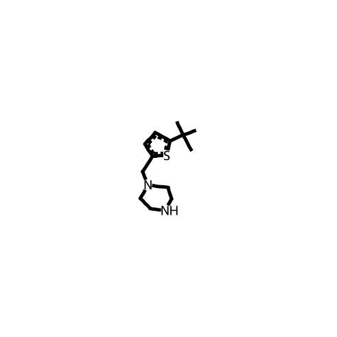 CC(C)(C)c1ccc(CN2CCNCC2)s1